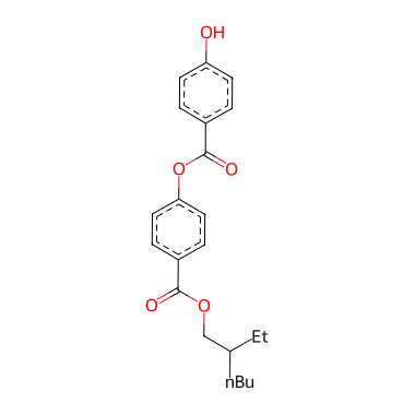 CCCCC(CC)COC(=O)c1ccc(OC(=O)c2ccc(O)cc2)cc1